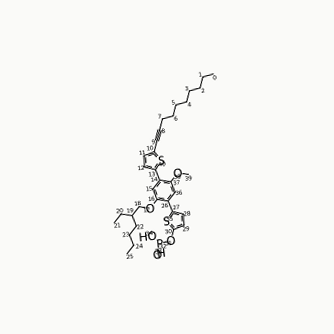 CCCCCCCCC#Cc1ccc(-c2cc(OCC(CC)CCCC)c(-c3ccc(O[PH](=O)O)s3)cc2OC)s1